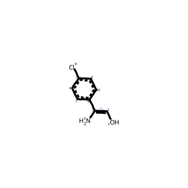 N/C(=C\O)c1ccc(Cl)cc1